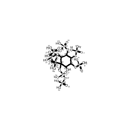 O=P(O)(O)OC1C(OP(=O)(O)O)C(O)C(OP(=O)(O)OP(=O)(O)O)(P(=O)(O)OP(=O)(O)O)C(OP(=O)(O)O)C1OP(=O)(O)O